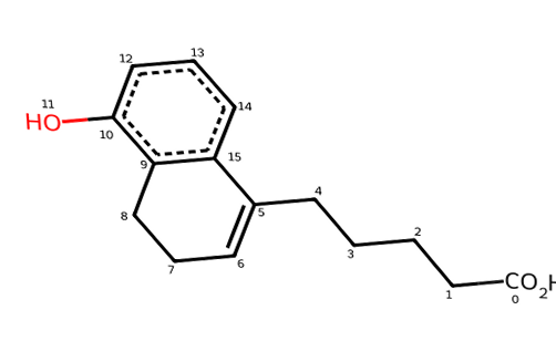 O=C(O)CCCCC1=CCCc2c(O)cccc21